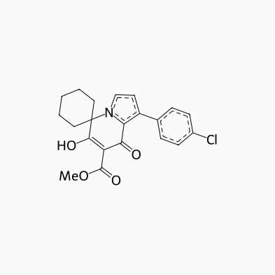 COC(=O)C1=C(O)C2(CCCCC2)n2ccc(-c3ccc(Cl)cc3)c2C1=O